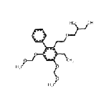 CCc1c(OCOC)cc(OCOC)c(-c2ccccc2)c1CCOCC(O)CO